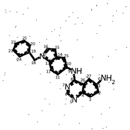 Nc1ccc2ncnc(Nc3ccc4c(ccn4Cc4ccccc4)c3)c2c1